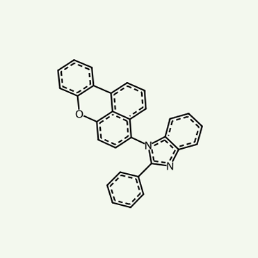 c1ccc(-c2nc3ccccc3n2-c2ccc3c4c(cccc24)-c2ccccc2O3)cc1